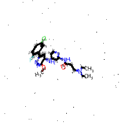 CCN(CC)CCC(=O)Nc1cc(Nc2cc(-c3cc(Cl)ccc3F)nnc2OC)ccn1